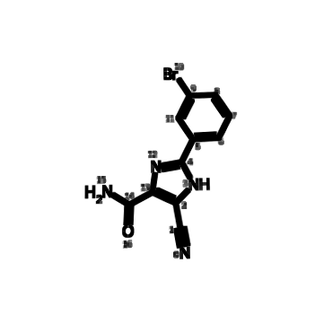 N#Cc1[nH]c(-c2cccc(Br)c2)nc1C(N)=O